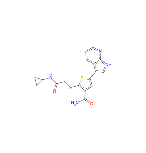 NC(=O)c1cc(-c2c[nH]c3ncccc23)sc1[CH]CC(=O)NC1CC1